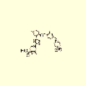 Cc1ccc(OCc2ccc(CN3CCS(=O)(=O)CC3)cc2C)c(-c2csc(N3CC[C@@](C)(C(=O)O)[C@H](C)C3)n2)c1